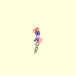 Cc1cc(C(=O)N(C2CC2)C2CCc3nn(C(=O)OC(C)(C)C)cc3C2)ccc1-c1ccc(F)cc1